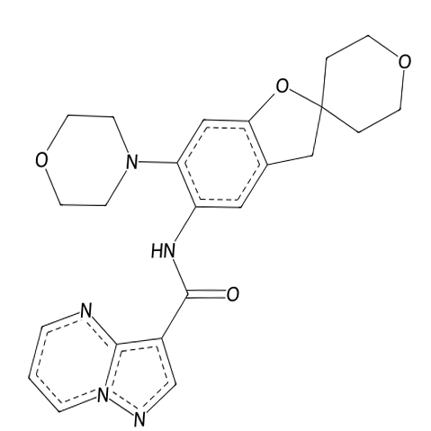 O=C(Nc1cc2c(cc1N1CCOCC1)OC1(CCOCC1)C2)c1cnn2cccnc12